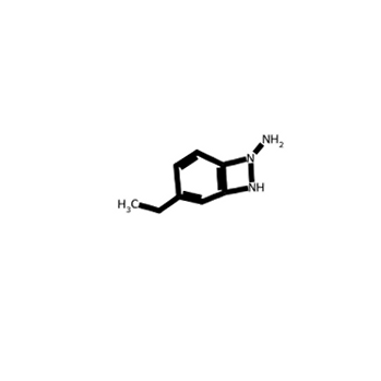 CCc1ccc2c(c1)[nH]n2N